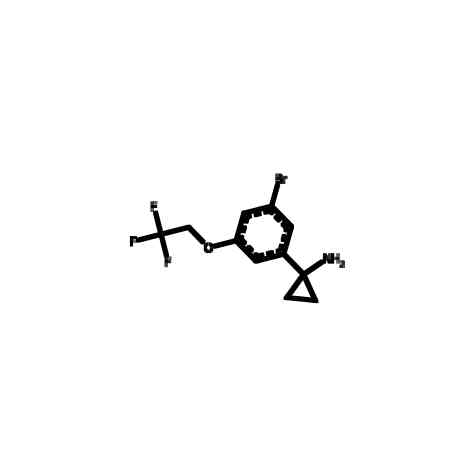 NC1(c2cc(Br)cc(OCC(F)(F)F)c2)CC1